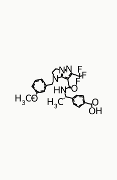 COc1cccc(CN2CCn3nc(C(F)(F)F)c(C(=O)N[C@@H](C)c4ccc(C(=O)O)cc4)c32)c1